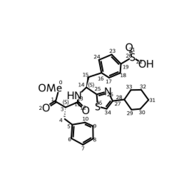 COC(=O)[C@@H](Cc1ccccc1)C(=O)N[C@@H](Cc1ccc(S(=O)O)cc1)c1nc(C2CCCCC2)cs1